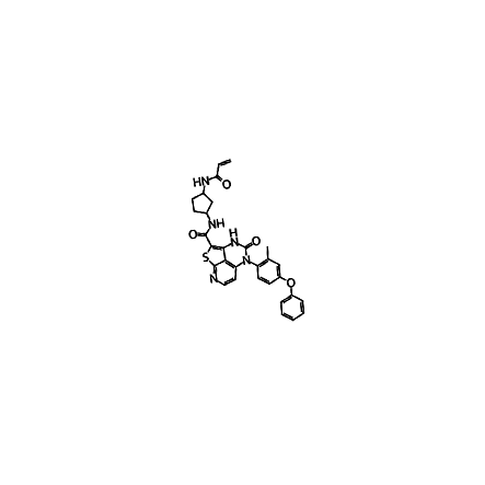 C=CC(=O)NC1CCC(NC(=O)c2sc3nccc4c3c2NC(=O)N4c2ccc(Oc3ccccc3)cc2C)C1